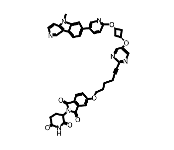 Cn1c2ccncc2c2ccc(-c3ccc(O[C@H]4C[C@H](Oc5cnc(C#CCCCCOc6ccc7c(c6)C(=O)N(C6CCC(=O)NC6=O)C7=O)nc5)C4)nc3)cc21